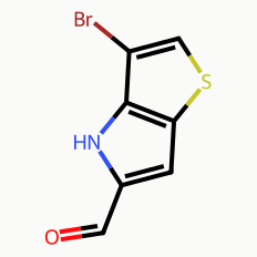 O=Cc1cc2scc(Br)c2[nH]1